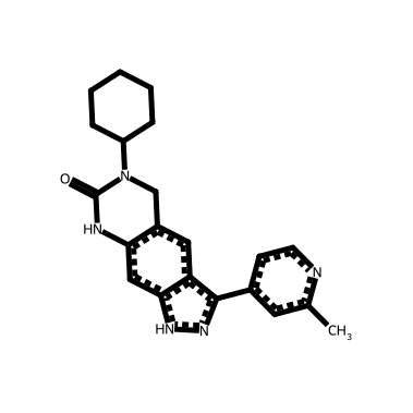 Cc1cc(-c2n[nH]c3cc4c(cc23)CN(C2CCCCC2)C(=O)N4)ccn1